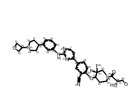 N#Cc1cc(-c2ccnc(Nc3cccc(C4CCN(C5COC5)CC4)c3)n2)ccc1OC1CCN(C(=O)[C@@H](O)CO)CC1(F)F